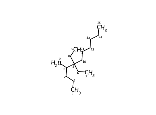 BC(CCC)C(CC)(CC)CCCCCC